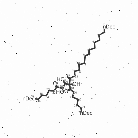 CCCCCCCCCCCCCCCCCCCCCCCC(=S)C(O)(C(=O)CCCCCCCCCCCCCCC)C(O)C(O)C(=O)CCCCCCCCCCCCCCC